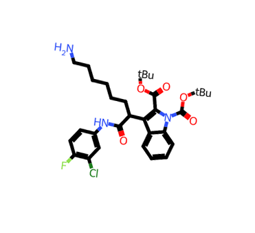 CC(C)(C)OC(=O)c1c(C(CCCCCCN)C(=O)Nc2ccc(F)c(Cl)c2)c2ccccc2n1C(=O)OC(C)(C)C